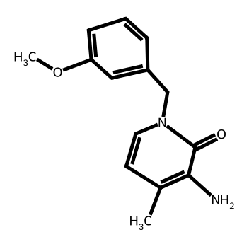 COc1cccc(Cn2ccc(C)c(N)c2=O)c1